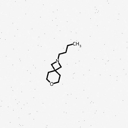 CCCCN1CC2(CCOCC2)C1